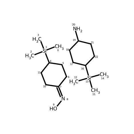 C[Si](C)(C)C1CCC(=NO)CC1.C[Si](C)(C)C1CCC(N)CC1